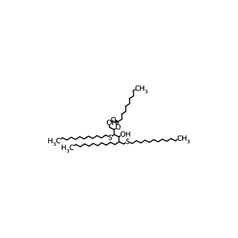 CCCCCCCCCCCCSCC(CCCCCCCCCCC)C(O)C(SCCCCCCCCCCCC)C(CO)OC(=O)CCCCCCCCC